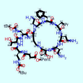 CCCC(C)OC(=O)CCC(=O)N[C@@H](CCNC(=O)OC(C)(C)C)C(=O)N[C@H](C(=O)N[C@@H](CNC(=O)OC(C)(C)C)C(=O)N[C@H]1CCNC(=O)[C@H]([C@H](C)O)NC(=O)[C@H](CCN)NC(=O)[C@H](CCN)NC(=O)[C@H](CC(C)C)NC(=O)[C@@H](Cc2ccccc2)NC(=O)[C@H](CCN)NC1=O)C(C)O